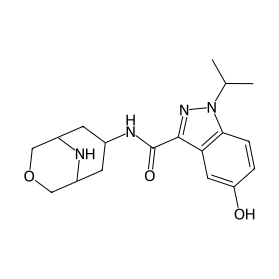 CC(C)n1nc(C(=O)NC2CC3COCC(C2)N3)c2cc(O)ccc21